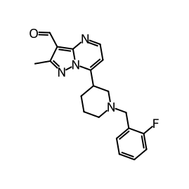 Cc1nn2c(C3CCCN(Cc4ccccc4F)C3)ccnc2c1C=O